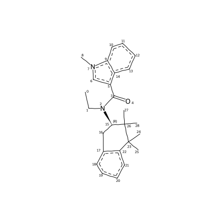 CCN(C(=O)c1cn(C)c2ccccc12)[C@@H]1Cc2ccccc2C(C)(C)C1(C)C